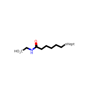 CCCCCCCCCCCCC(=O)NCC(=O)O